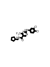 O=C(NCC1CCCC1)c1cnc(Nc2ccc(Cl)c(Cl)c2)nc1C(F)(F)F